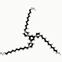 CCCCCCCCCCCCN1C=CN(c2cc(N3C=CN(CCCCCCCCCCCC)C3)cc(N3C=CN(CCCCCCCCCCCC)C3)c2)C1